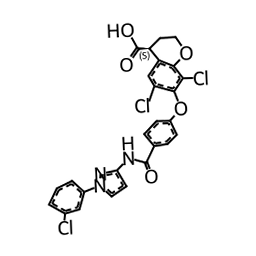 O=C(Nc1ccn(-c2cccc(Cl)c2)n1)c1ccc(Oc2c(Cl)cc3c(c2Cl)OCC[C@@H]3C(=O)O)cc1